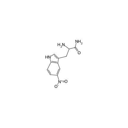 NC(=O)C(N)Cc1c[nH]c2ccc([N+](=O)[O-])cc12